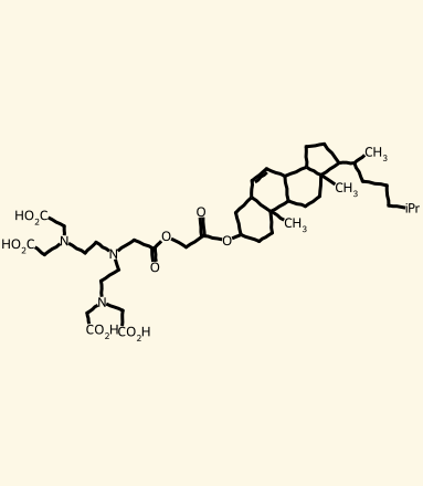 CC(C)CCCC(C)C1CCC2C3C=CC4CC(OC(=O)COC(=O)CN(CCN(CC(=O)O)CC(=O)O)CCN(CC(=O)O)CC(=O)O)CCC4(C)C3CCC12C